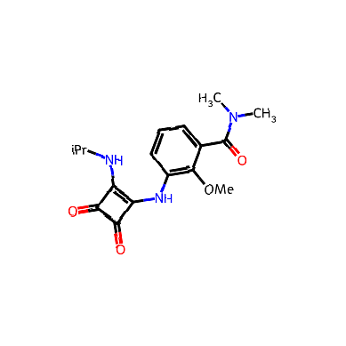 COc1c(Nc2c(NC(C)C)c(=O)c2=O)cccc1C(=O)N(C)C